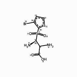 NC(C(=O)O)[C@@H](N)S(=O)(=O)c1sccc1Br